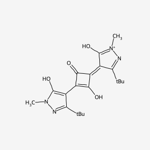 Cn1nc(C(C)(C)C)c(C2=C(O)/C(=C3\C(C(C)(C)C)=N[N+](C)=C3O)C2=O)c1O